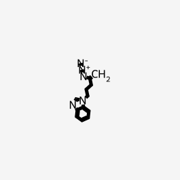 C=C(CCCn1cnc2ccccc21)N=[N+]=[N-]